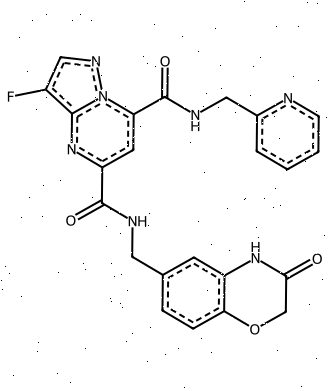 O=C1COc2ccc(CNC(=O)c3cc(C(=O)NCc4ccccn4)n4ncc(F)c4n3)cc2N1